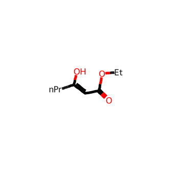 CCCC(O)=CC(=O)OCC